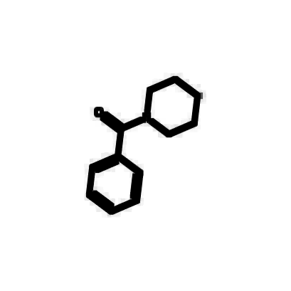 O=C(c1ccccc1)N1CC[C]CC1